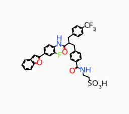 O=C(NCCS(=O)(=O)O)c1ccc(CC(Cc2ccc(C(F)(F)F)cc2)C(=O)Nc2ccc(-c3cc4ccccc4o3)cc2F)cc1